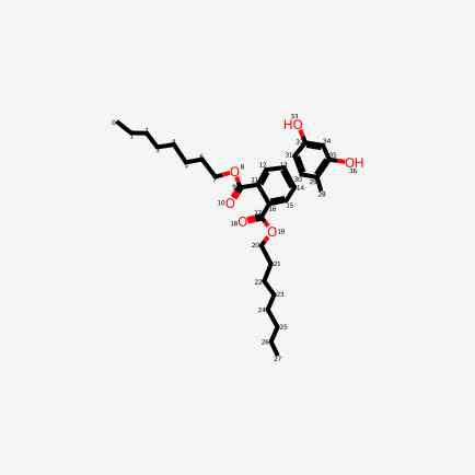 CCCCCCCCOC(=O)c1ccccc1C(=O)OCCCCCCCC.Cc1ccc(O)cc1O